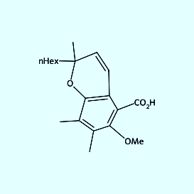 CCCCCCC1(C)C=Cc2c(c(C)c(C)c(OC)c2C(=O)O)O1